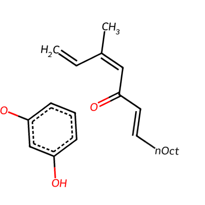 C=CC(C)=CC(=O)C=CCCCCCCCC.Oc1cccc(O)c1